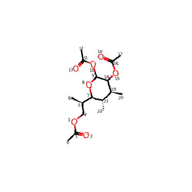 CC(=O)OC[C@@H](C)C1OC(OC(C)=O)C(OC(C)=O)[C@@H](C)[C@@H]1C